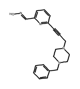 ON=Cc1cccc(C#CCN2CCN(Cc3ccccc3)CC2)n1